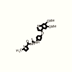 COc1cc2nccc(Oc3ccc(NC(=S)NC(=O)c4ccc(C)s4)cc3)c2cc1OC